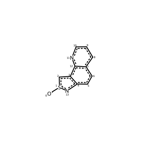 [O-][s+]1cc2c(ccc3cccnc32)n1